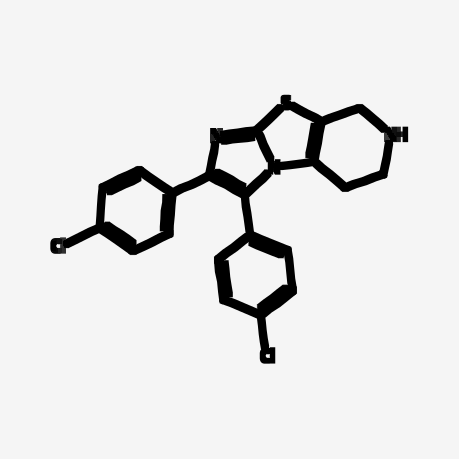 Clc1ccc(-c2nc3sc4c(n3c2-c2ccc(Cl)cc2)CCNC4)cc1